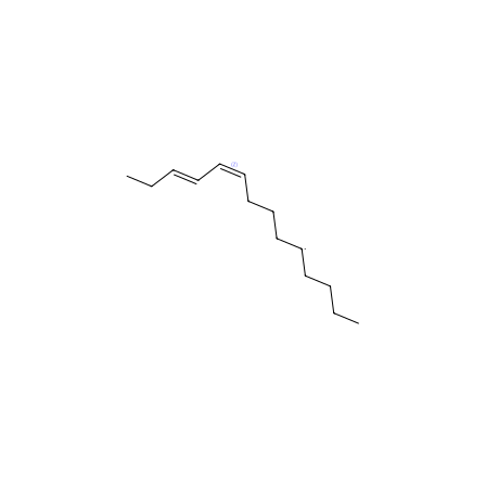 CCC=C/C=C\CCC[CH]CCCC